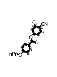 CCCOc1ccc(C(=O)Oc2ccc(C#N)c(Cl)c2)nc1